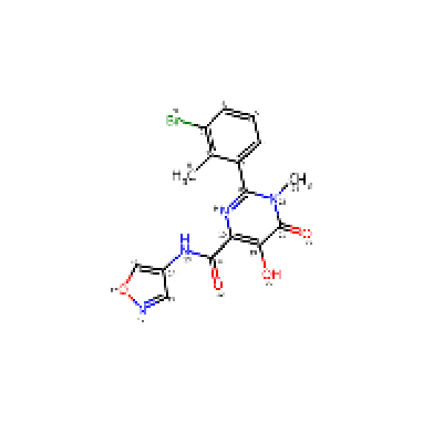 Cc1c(Br)cccc1-c1nc(C(=O)Nc2cnoc2)c(O)c(=O)n1C